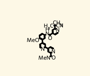 CNC(=O)c1cc(-c2cc(-c3cc(NC(=O)c4ccnc(C(C)(C)C#N)c4)ccc3OC)ccn2)ccn1